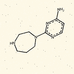 Nc1ccnc(N2CCCNCC2)n1